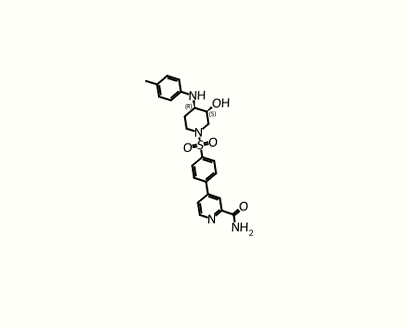 Cc1ccc(N[C@@H]2CCN(S(=O)(=O)c3ccc(-c4ccnc(C(N)=O)c4)cc3)C[C@@H]2O)cc1